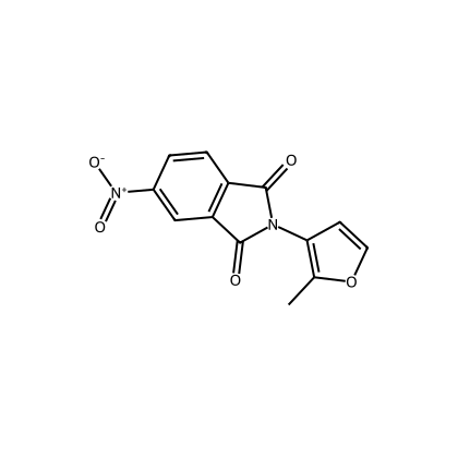 Cc1occc1N1C(=O)c2ccc([N+](=O)[O-])cc2C1=O